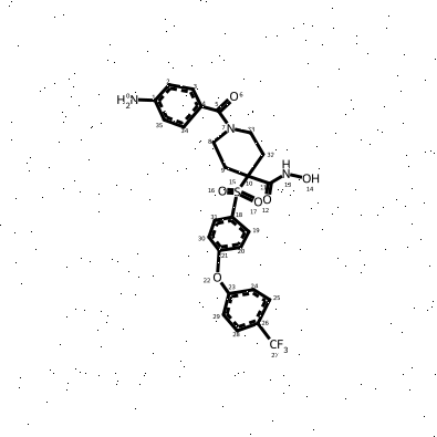 Nc1ccc(C(=O)N2CCC(C(=O)NO)(S(=O)(=O)c3ccc(Oc4ccc(C(F)(F)F)cc4)cc3)CC2)cc1